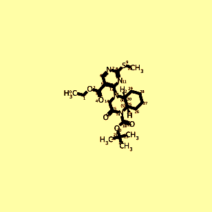 CCOC(=O)c1cnc(SC)nc1N1CC(=O)N(C(=O)OC(C)(C)C)[C@H]2CCCC[C@H]21